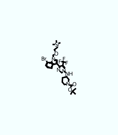 CC(C)(C)OC(=O)N1CCC[C@H](NN2C=C(C(F)(F)F)C(c3cn(COCC[Si](C)(C)C)c4c(Br)cccc34)=NC2)C1